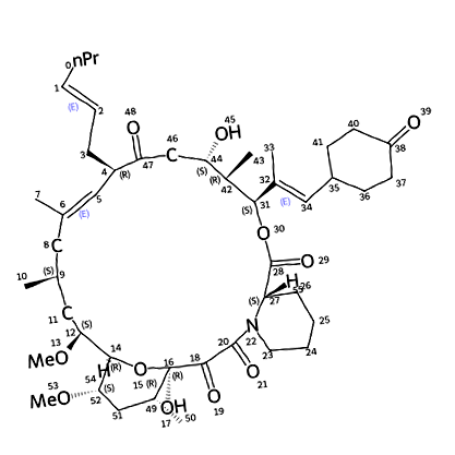 CCC/C=C/C[C@@H]1/C=C(\C)C[C@H](C)C[C@H](OC)[C@H]2O[C@@](O)(C(=O)C(=O)N3CCCC[C@H]3C(=O)O[C@H](/C(C)=C/C3CCC(=O)CC3)[C@H](C)[C@@H](O)CC1=O)[C@H](C)C[C@@H]2OC